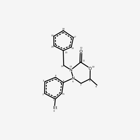 CCc1cccc(N2CC(C)OC(=O)N2Cc2ccccc2)c1